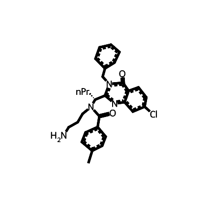 CCC[C@H](c1nc2cc(Cl)ccc2c(=O)n1Cc1ccccc1)N(CCCN)C(=O)c1ccc(C)cc1